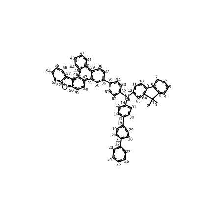 CC1(C)c2ccccc2-c2ccc(N(c3ccc(-c4ccc(-c5ccccc5)cc4)cc3)c3ccc(-c4ccc5c6ccccc6c6c(ccc7oc8ccccc8c76)c5c4)cc3)cc21